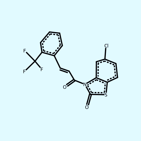 O=C(/C=C/c1ccccc1C(F)(F)F)n1c(=O)sc2ccc(Cl)cc21